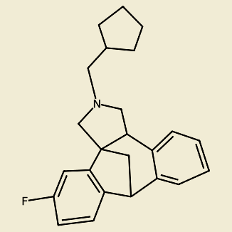 Fc1ccc2c(c1)C13CC2c2ccccc2C1CN(CC1CCCC1)C3